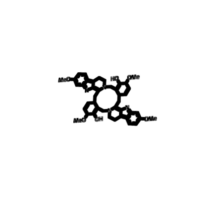 COc1ccc2c(c1)=NC1=C3CC4C=CC(OC)C(O)=C4CN4CCC5=c6ccc(OC)cc6=NC5=C4CC4C=CC(OC)C(O)=C4CN3CCC=21